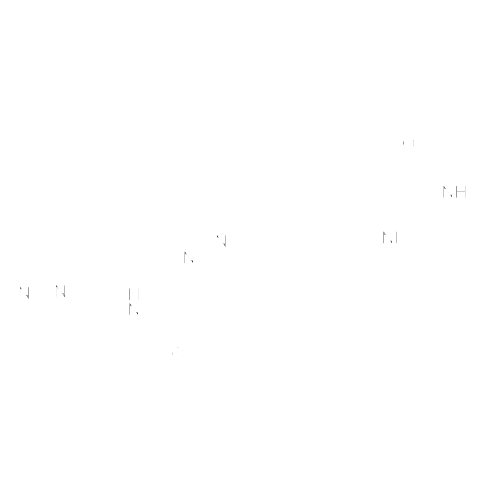 COC(=N)c1cc2cc(-c3cc(C(=O)NCc4ccnn4C)nn3C)ccc2[nH]1